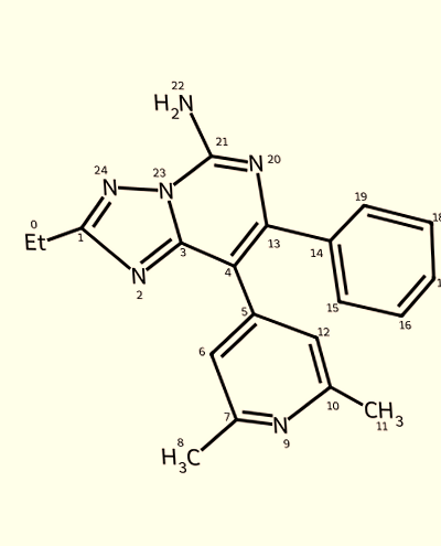 CCc1nc2c(-c3cc(C)nc(C)c3)c(-c3ccccc3)nc(N)n2n1